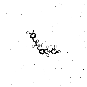 Cc1ccc(CC(=O)C(=O)NCc2ccc3c(c2)C(=O)N(C2CCC(=O)NC2=O)C3=O)cc1Cl